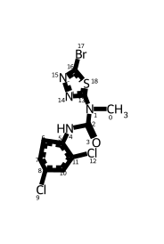 CN(C(=O)Nc1ccc(Cl)cc1Cl)c1nnc(Br)s1